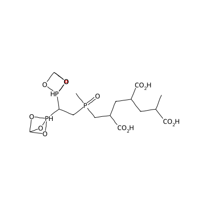 CC(CC(CC(CP(C)(=O)CC([PH]12OC(O1)O2)[PH]12OC(O1)O2)C(=O)O)C(=O)O)C(=O)O